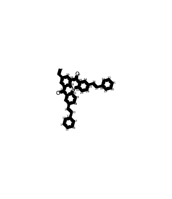 C=Cc1cc2c(=O)c3cc(/C=C/c4ccccc4)ccc3n3c4ccc(/C=C/c5ccccc5)cc4c(=O)c(c1)c23